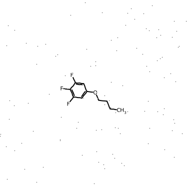 CCCCOc1[c]c(F)c(F)c(F)c1